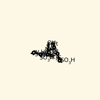 CCN(CC)c1ccc(/N=N/c2ccc(-c3nc4ccc(C)cc4s3)cc2S(=O)(=O)O)c(Nc2nc(Nc3cc(N(CC)CC)ccc3/N=N/c3ccc(-c4nc5ccc(C)c(S(=O)(=O)O)c5s4)cc3S(=O)(=O)O)nc(SCCO)n2)c1